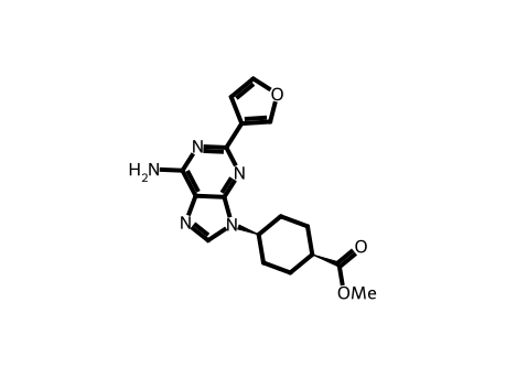 COC(=O)[C@H]1CC[C@@H](n2cnc3c(N)nc(-c4ccoc4)nc32)CC1